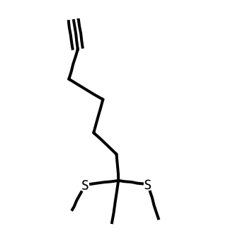 [C]#CCCCCC(C)(SC)SC